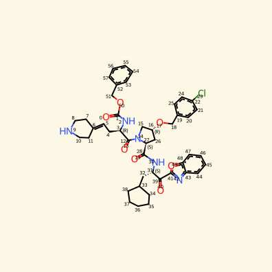 O=C(N[C@H](CC=C1CCNCC1)C(=O)N1C[C@H](OCc2ccc(Cl)cc2)C[C@H]1C(=O)N[C@@H](CC1CCCCC1)C(=O)c1nc2ccccc2o1)OCc1ccccc1